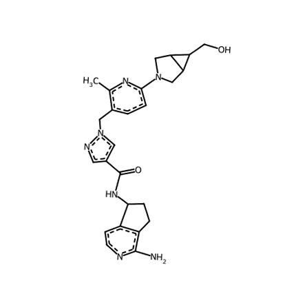 Cc1nc(N2CC3C(CO)C3C2)ccc1Cn1cc(C(=O)NC2CCc3c2ccnc3N)cn1